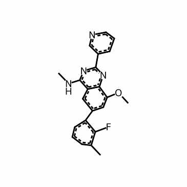 CNc1nc(-c2cccnc2)nc2c(OC)cc(-c3cccc(C)c3F)cc12